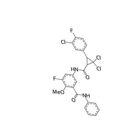 COc1c(F)cc(NC(=O)C2C(c3ccc(F)c(Cl)c3)C2(Cl)Cl)cc1C(=O)Nc1ccccc1